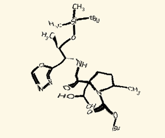 CC1CCC(C(=O)N[C@H](c2nnco2)[C@@H](C)O[Si](C)(C)C(C)(C)C)(C(C)O)N1C(=O)OC(C)(C)C